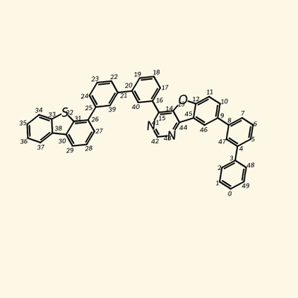 c1ccc(-c2cccc(-c3ccc4oc5c(-c6cccc(-c7cccc(-c8cccc9c8sc8ccccc89)c7)c6)ncnc5c4c3)c2)cc1